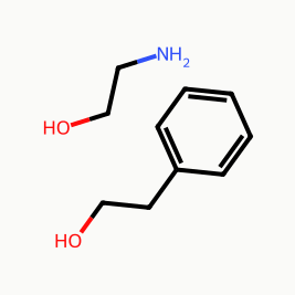 NCCO.OCCc1ccccc1